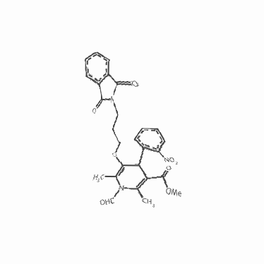 COC(=O)C1=C(C)N(C=O)C(C)=C(OCCCN2C(=O)c3ccccc3C2=O)C1c1ccccc1[N+](=O)[O-]